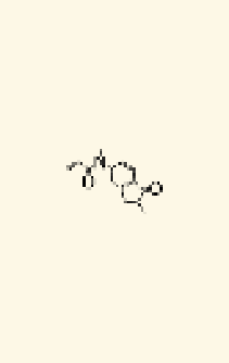 C=CC(=O)N(C)c1ccc2c(c1)CC(C)C2=O